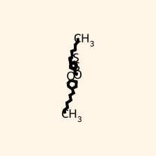 CCCCCCCC1CCC(OC(=O)c2cc3cc(CCCCC)sc3s2)CC1